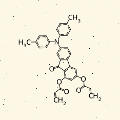 C=CC(=O)Oc1cc(OC(=O)C=C)c2c(c1)-c1ccc(N(c3ccc(C)cc3)c3ccc(C)cc3)cc1C2=O